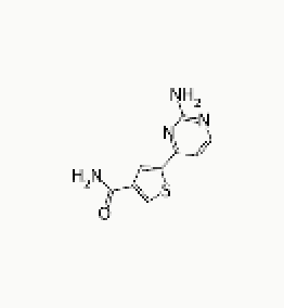 NC(=O)c1csc(-c2ccnc(N)n2)c1